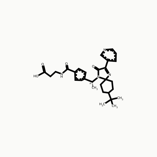 C[C@H](c1ccc(C(=O)NCCC(=O)O)cc1)N1C(=O)C(c2cccnc2)=NC12CCC(C(C)(C)C)CC2